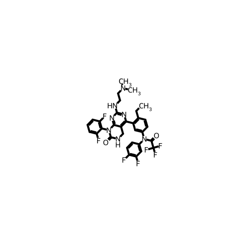 CCc1ccc(N(C(=O)C(F)(F)F)c2ccc(F)c(F)c2)cc1-c1nc(NCCN(C)C)nc2c1CNC(=O)N2c1c(F)cccc1F